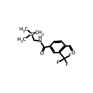 C[Si](C)(C)CNC(=O)c1ccc(C=O)c(C(F)(F)F)c1